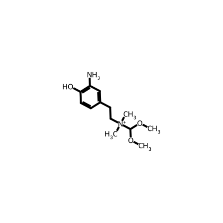 COC(OC)[N+](C)(C)CCc1ccc(O)c(N)c1